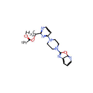 CCCC(=O)O[C@H](C)c1nccc(N2CCN(c3nc4cccnc4o3)CC2)n1